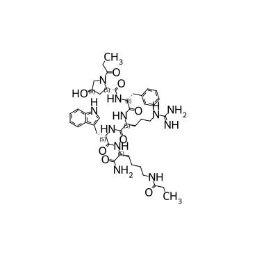 CCC(=O)NCCCC[C@H](NC(=O)[C@H](Cc1c[nH]c2ccccc12)NC(=O)[C@H](CCCNC(=N)N)NC(=O)[C@@H](Cc1ccccc1)NC(=O)[C@@H]1C[C@@H](O)CN1C(=O)CC)C(N)=O